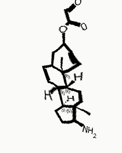 C[C@]12C=CC(OC(=O)C=O)CC1C=C[C@@H]1[C@H]2CC[C@]2(C)C(N)CC[C@@H]12